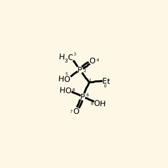 CCC(P(C)(=O)O)P(=O)(O)O